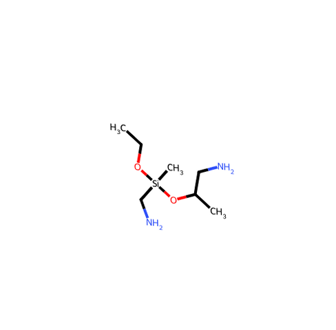 CCO[Si](C)(CN)OC(C)CN